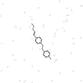 CCC/C=C/c1ccc(CCc2ccc(C)cc2)cc1